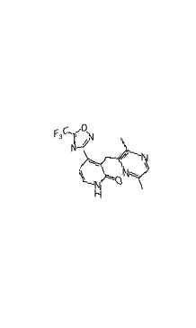 Cc1cnc(C)c(Cc2c(-c3noc(C(F)(F)F)n3)cc[nH]c2=O)n1